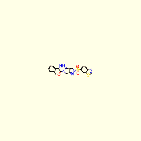 Cc1ccccc1[C@@H](N)C(=O)N1Cc2cn(S(=O)(=O)c3ccc4ncsc4c3)nc2C1